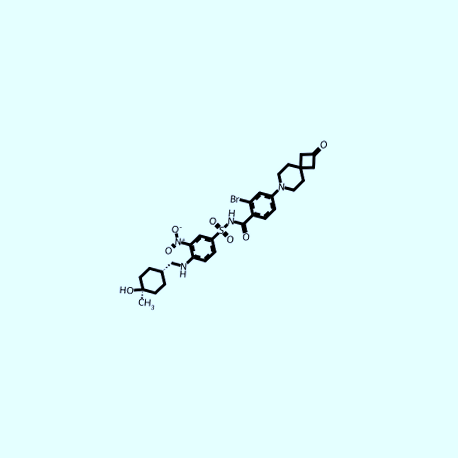 C[C@]1(O)CC[C@H](CNc2ccc(S(=O)(=O)NC(=O)c3ccc(N4CCC5(CC4)CC(=O)C5)cc3Br)cc2[N+](=O)[O-])CC1